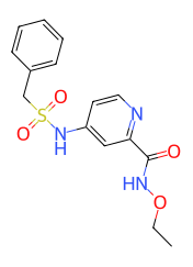 CCONC(=O)c1cc(NS(=O)(=O)Cc2ccccc2)ccn1